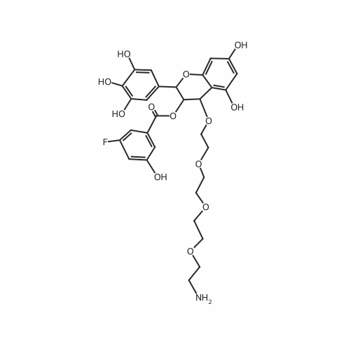 NCCOCCOCCOCCOC1c2c(O)cc(O)cc2OC(c2cc(O)c(O)c(O)c2)C1OC(=O)c1cc(O)cc(F)c1